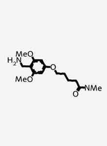 CNC(=O)CCCCOc1cc(OC)c(CN)c(OC)c1